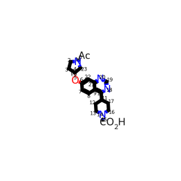 CC(=O)N1CC[C@@H](Oc2ccc3c(C4CCN(C(=O)O)CC4)ncnc3c2)C1